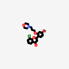 O=c1cc(-c2ccc(Br)cc2OCCCN2CCOCC2)oc2c(Cl)cccc12